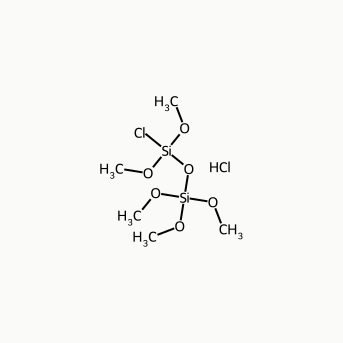 CO[Si](Cl)(OC)O[Si](OC)(OC)OC.Cl